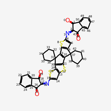 O=c1c(=Nc2cc3c(s2)C2=C(c4sc5cc(N=c6c(=O)c7ccccc7c6=O)sc5c4C24CCCCC4)C32CCCCC2)c(=O)c2ccccc12